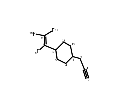 C#CCC1CCC(C(F)=C(F)F)CC1